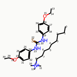 CCCCCCCCC[N+](C)(C)C.CCOc1ccc(NC(=S)Nc2ccc(OCC)cc2)cc1